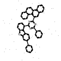 c1ccc(-c2ccc3c(c2)oc2cccc(-c4nc(-c5ccccc5)nc(-c5cc6ccccc6c6ccc7ccccc7c56)n4)c23)cc1